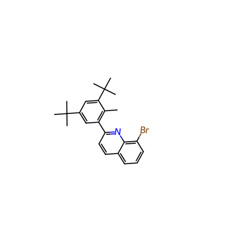 Cc1c(-c2ccc3cccc(Br)c3n2)cc(C(C)(C)C)cc1C(C)(C)C